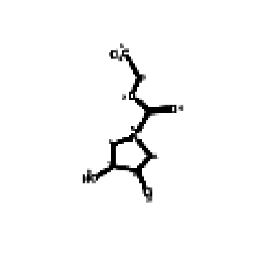 O=C(OCC(Cl)(Cl)Cl)N1CC(O)C(Cl)C1